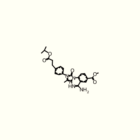 COC(=O)c1ccc(-n2nc(C)n(-c3ccc(CCC(=O)OC(C)C)cc3)c2=O)c(C(=N)N)c1